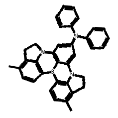 Cc1ccc2c3c1CCN3c1cc(N(c3ccccc3)c3ccccc3)cc3c1B2c1ccc(C)c2c1N3CC2